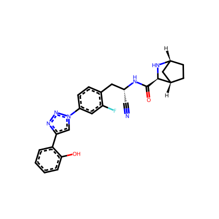 N#C[C@H](Cc1ccc(-n2cc(-c3ccccc3O)nn2)cc1F)NC(=O)[C@H]1N[C@@H]2CC[C@H]1C2